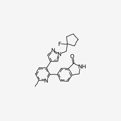 Cc1ccc(-c2cnn(CC3(F)CCCC3)c2)c(-c2ccc3c(c2)C(=O)NC3)n1